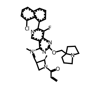 C=CC(=O)N1CC(/C=[N+](/C)c2nc(OCC34CCCN3CCC4)nc3c(F)c(-c4cccc5cccc(Cl)c45)ncc23)[C@H]1C